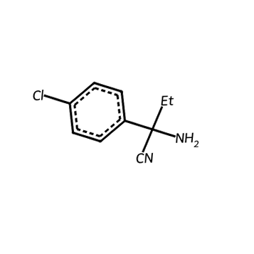 CCC(N)(C#N)c1ccc(Cl)cc1